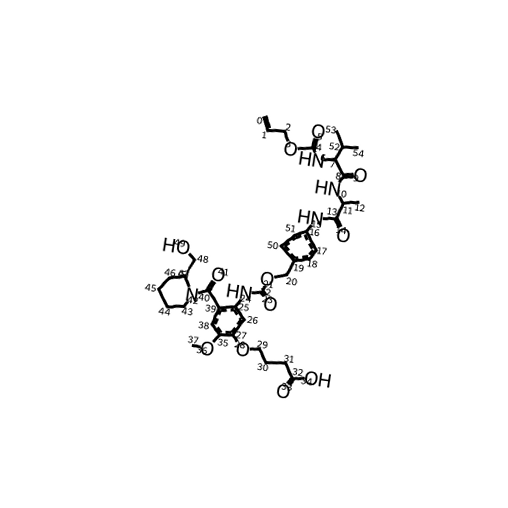 C=CCOC(=O)NC(C(=O)NC(C)C(=O)Nc1ccc(COC(=O)Nc2cc(OCCCC(=O)O)c(OC)cc2C(=O)N2CCCC[C@H]2CO)cc1)C(C)C